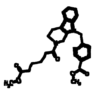 COC(=O)CCCCC(=O)N1CCc2c(n(Cc3ccc(C(=O)OC)cc3)c3ccccc23)C1